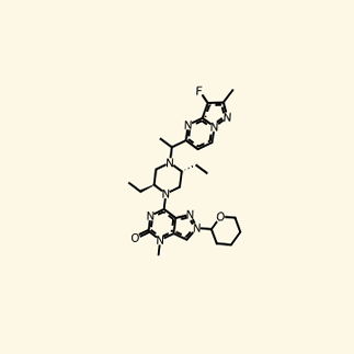 CC[C@H]1CN(C(C)c2ccn3nc(C)c(F)c3n2)[C@H](CC)CN1c1nc(=O)n(C)c2cn(C3CCCCO3)nc12